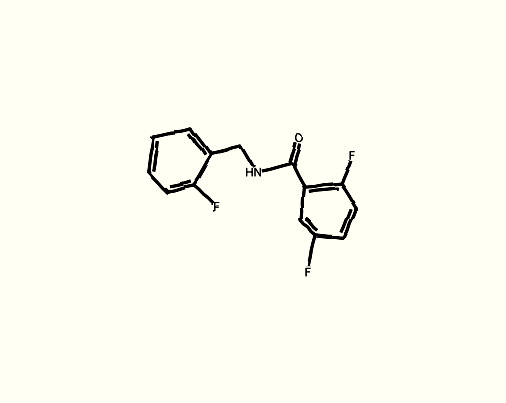 O=C(NCc1c[c]ccc1F)c1cc(F)ccc1F